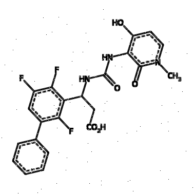 Cn1ccc(O)c(NC(=O)NC(CC(=O)O)c2c(F)c(F)cc(-c3ccccc3)c2F)c1=O